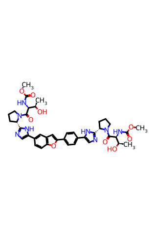 COC(=O)N[C@H](C(=O)N1CCC[C@H]1c1ncc(-c2ccc(-c3cc4cc(-c5cnc([C@@H]6CCCN6C(=O)[C@@H](NC(=O)OC)[C@@H](C)O)[nH]5)ccc4o3)cc2)[nH]1)[C@@H](C)O